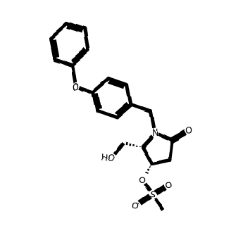 CS(=O)(=O)O[C@H]1CC(=O)N(Cc2ccc(Oc3ccccc3)cc2)[C@H]1CO